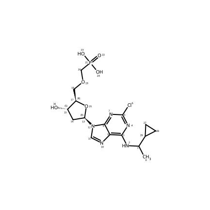 CC(Nc1nc(Cl)nc2c1ncn2[C@H]1C[C@H](O)[C@@H](COCP(=O)(O)O)O1)C1CC1